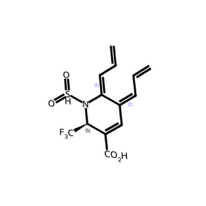 C=C/C=C1/C=C(C(=O)O)[C@@H](C(F)(F)F)N([SH](=O)=O)/C1=C/C=C